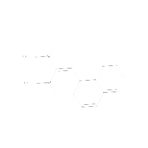 COC(=O)C(=Cc1cccc2ccccc12)C(=O)OC